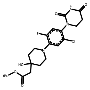 CC(C)(C)OC(=O)CC1(O)CCN(c2cc(Cl)c(N3CCC(=O)NC3=O)cc2F)CC1